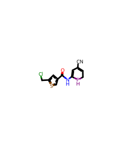 N#CC1=CCPC(NC(=O)c2csc(CCl)c2)=C1